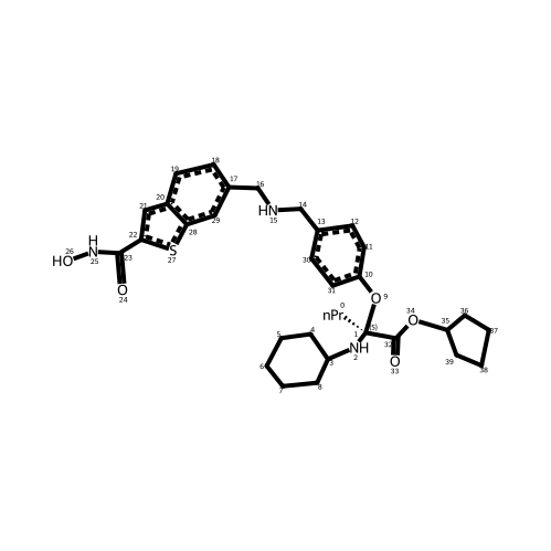 CCC[C@](NC1CCCCC1)(Oc1ccc(CNCc2ccc3cc(C(=O)NO)sc3c2)cc1)C(=O)OC1CCCC1